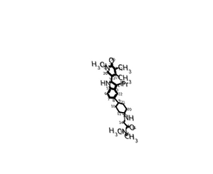 Cc1c(-c2[nH]c3ccc(C4CCC(NCC(=O)N(C)C)CC4)cc3c2C(C)C)cn(C)c(=O)c1C